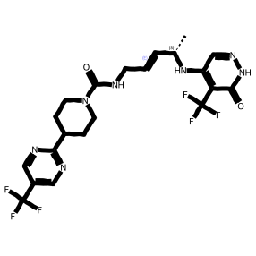 C[C@@H](/C=C/CNC(=O)N1CCC(c2ncc(C(F)(F)F)cn2)CC1)Nc1cn[nH]c(=O)c1C(F)(F)F